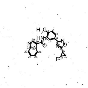 Cc1ccc(-c2noc(C3C[C@H]3F)n2)cc1NC(=O)c1cnc2ccccn12